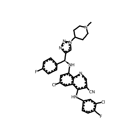 CN1CCC(n2cc([C@@H](Nc3cc(Cl)cc4c(Nc5ccc(F)c(Cl)c5)c(C#N)cnc34)c3ccc(F)cc3)nn2)CC1